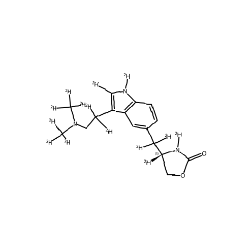 [2H]c1c(C([2H])([2H])CN(C([2H])([2H])[2H])C([2H])([2H])[2H])c2cc(C([2H])([2H])[C@@]3([2H])COC(=O)N3[2H])ccc2n1[2H]